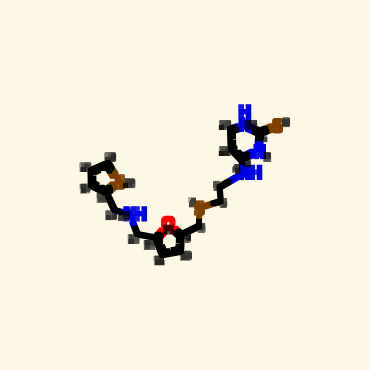 S=c1nc(NCCSCc2ccc(CNCc3cccs3)o2)cc[nH]1